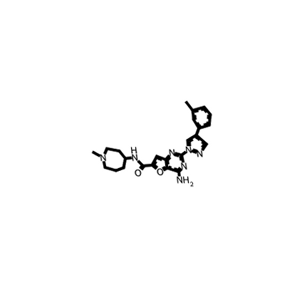 Cc1cccc(-c2cnn(-c3nc(N)c4oc(C(=O)NC5CCCN(C)CC5)cc4n3)c2)c1